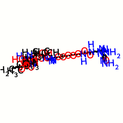 C=C/C=C/C=C(\C)[C@H](C[C@@H]1CCC[C@](O)(C(=O)C(=O)N2CCCC[C@H]2C(=O)O[C@@H](C[C@@H](OC)[C@H](C)/C=C(\C)[C@@H](O)[C@@H](O)/C(=N/OCc2cn(CCOCCOCCOCCOCCOCCNC(=O)CCC(=O)NCCCCn3nc(-c4ccc5oc(N)nc5c4)c4c(N)ncnc43)nn2)[C@H](C)CC(C)C)[C@H](N)C[C@@H]2CC[C@@H](O)[C@H](OC)C2)O1)OC